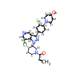 C=CC(=O)N1CCCC(n2nc(-c3ccc(-n4ccc(=O)cc4)c(F)c3)c3cncc(Cl)c32)C1